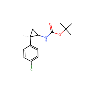 CC(C)(C)OC(=O)NC1C[C@]1(C)c1ccc(Cl)cc1